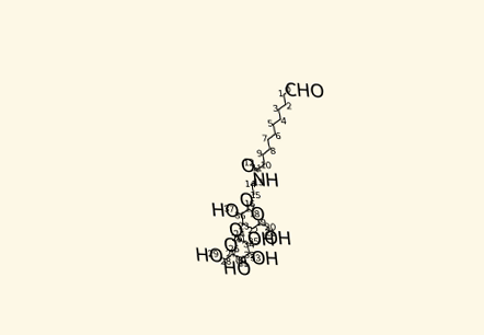 O=CCCCCCCCCCCC(=O)NCCOC1OC(CO)CC(O[C@H]2OC(CO)[C@@H](O)C(O)C2O)C1O